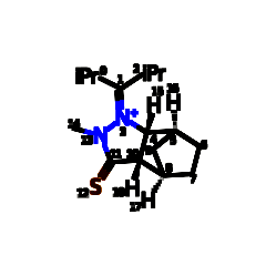 CC(C)C(C(C)C)=[N+]1[C@@H]2[C@H]3CC[C@H](C3)[C@@H]2C(=S)N1C